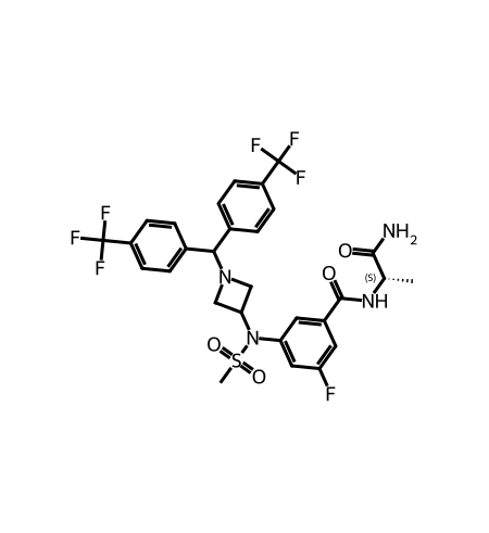 C[C@H](NC(=O)c1cc(F)cc(N(C2CN(C(c3ccc(C(F)(F)F)cc3)c3ccc(C(F)(F)F)cc3)C2)S(C)(=O)=O)c1)C(N)=O